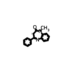 CN1C(=O)[C]C(c2ccccc2)=Nc2ccccc21